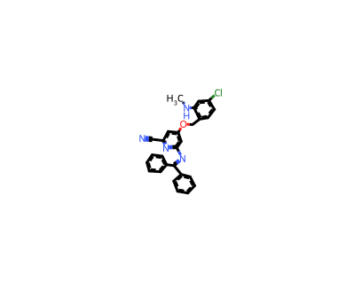 CNc1cc(Cl)ccc1COc1cc(C#N)nc(N=C(c2ccccc2)c2ccccc2)c1